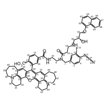 [N-]=[N+]=Nc1ccc(CN(CCNC(=O)c2ccc(C(=O)O)c(C3=c4cc5c6c(c4Oc4c3cc3c7c4CCCN7CCCC3)CCC[N+]=6CCCC5)c2)C(=O)CCNC[C@H](O)COc2cccc3ccccc23)cc1F